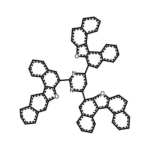 c1ccc2cc3c(cc2c1)oc1c(-c2nc(-c4cc5ccccc5c5c4oc4ccc6ccccc6c45)cc(-c4cc5ccccc5c5c4oc4ccc6ccccc6c45)n2)cc2ccccc2c13